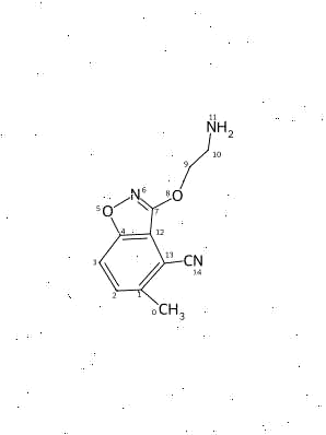 Cc1ccc2onc(OCCN)c2c1C#N